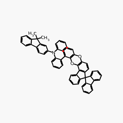 CC1(C)c2ccccc2-c2ccc(N(c3ccccc3)c3ccccc3-c3cccc4c3Oc3c(ccc5c3-c3ccccc3C53c5ccccc5-c5ccccc53)O4)cc21